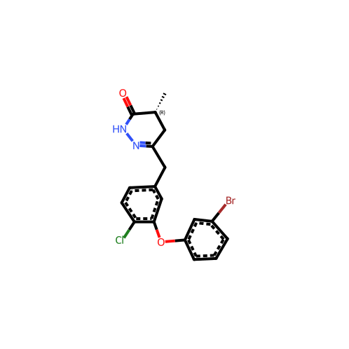 C[C@@H]1CC(Cc2ccc(Cl)c(Oc3cccc(Br)c3)c2)=NNC1=O